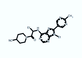 CCC(Nc1ncnc2c1nc(-c1cnc(C)nc1)n2CC)C(=O)N1CCC(C#N)CC1